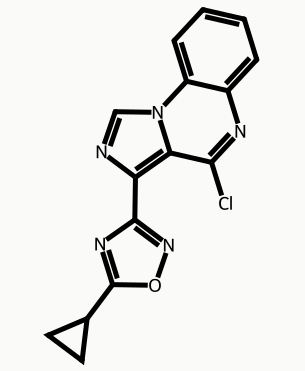 Clc1nc2ccccc2n2cnc(-c3noc(C4CC4)n3)c12